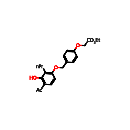 CCCc1c(OCc2ccc(OCC(=O)OCC)cc2)ccc(C(C)=O)c1O